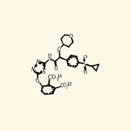 CCOC(=O)c1cccc(Oc2nnc(NC(=O)C(OC3CCOCC3)c3ccc(S(=O)(=O)C4CC4)cc3)s2)c1C(=O)O